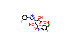 CN(C(=O)[C@@H]1OC(CO)[C@H](O)C(n2cc(-c3cccc(F)c3)nn2)[C@@H]1O)c1ccc(F)c(F)c1